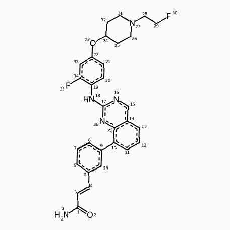 NC(=O)C=Cc1cccc(-c2cccc3cnc(Nc4ccc(OC5CCN(CCF)CC5)cc4F)nc23)c1